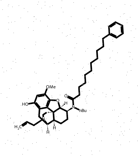 C=CCN1CC[C@]23c4c5c(O)cc(OC)c4O[C@H]2[C@@H](N(CCCC)C(=O)CCCCCCCCCCc2ccccc2)CC[C@H]3[C@H]1C5